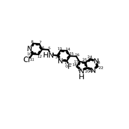 Fc1nc(NCc2ccnc(Cl)c2)ccc1Cc1c[nH]c2ncncc12